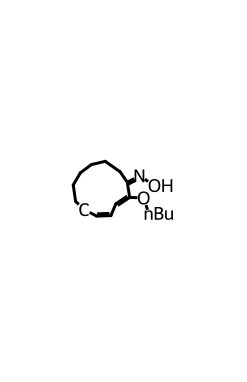 CCCCO/C1=C\C=C/CCCCCCC\C1=N\O